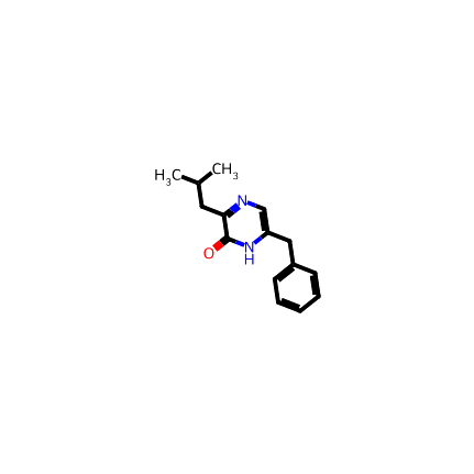 CC(C)Cc1ncc(Cc2ccccc2)[nH]c1=O